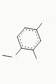 C[Se]c1ccc(C=O)cc1[N+](=O)[O-]